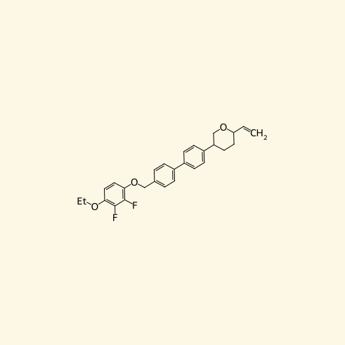 C=CC1CCC(c2ccc(-c3ccc(COc4ccc(OCC)c(F)c4F)cc3)cc2)CO1